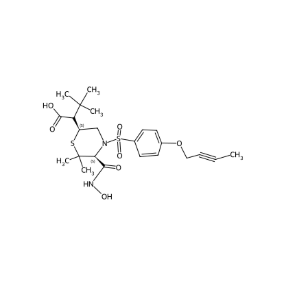 CC#CCOc1ccc(S(=O)(=O)N2C[C@H](C(C(=O)O)C(C)(C)C)SC(C)(C)[C@@H]2C(=O)NO)cc1